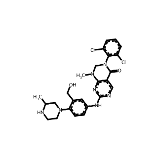 CC1CN(c2ccc(Nc3ncc4c(n3)N(C)CN(c3c(Cl)cccc3Cl)C4=O)cc2CO)CCN1